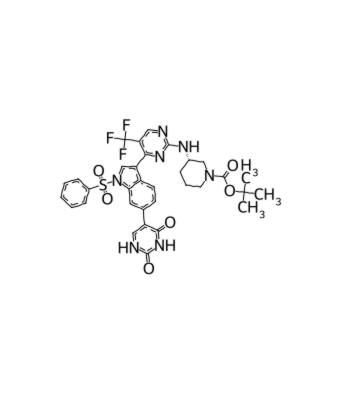 CC(C)(C)OC(=O)N1CCC[C@H](Nc2ncc(C(F)(F)F)c(-c3cn(S(=O)(=O)c4ccccc4)c4cc(-c5c[nH]c(=O)[nH]c5=O)ccc34)n2)C1